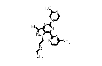 CCc1nn(CCOCC(F)(F)F)c2c(-c3nccc(N)n3)nc(N3CCNC(C)C3)nc12